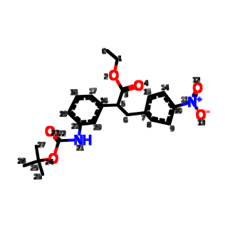 CCOC(=O)C(Cc1ccc([N+](=O)[O-])cc1)c1cccc(NC(=O)OC(C)(C)C)c1